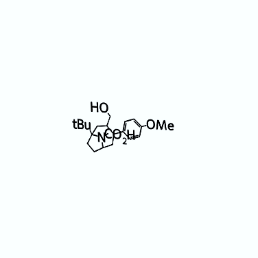 COc1ccc(C2CC3CCC(C(C)(C)C)(CC2CO)N3C(=O)O)cc1